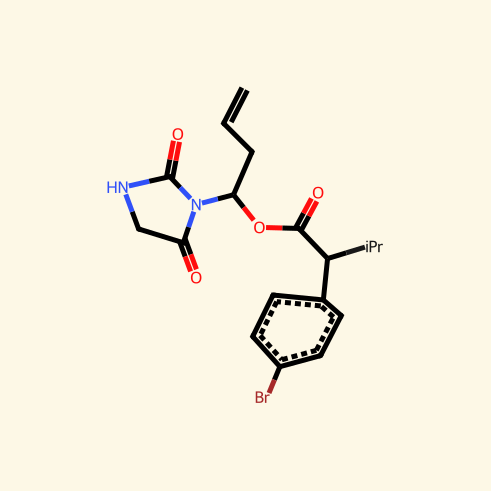 C=CCC(OC(=O)C(c1ccc(Br)cc1)C(C)C)N1C(=O)CNC1=O